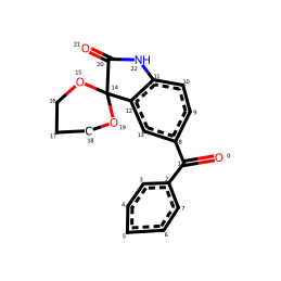 O=C(c1ccccc1)c1ccc2c(c1)C1(OCCCO1)C(=O)N2